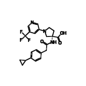 O=C(Cc1ccc(C2CC2)cc1)N[C@@]1(C(=O)O)CCN(c2cncc(C(F)(F)F)c2)C1